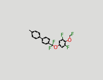 Cc1ccc(-c2ccc(C(F)(F)Oc3cc(F)c(OCF)c(F)c3)cc2)cc1